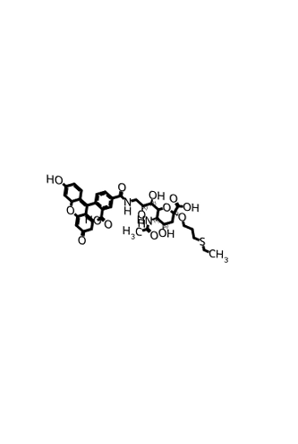 CCSCCCO[C@]1(C(=O)O)C[C@H](O)[C@@H](NC(C)=O)C([C@H](O)[C@H](O)CNC(=O)c2ccc(C3=C4C=CC(O)=CC4OC4=CC(=O)CC=C43)c(C(=O)O)c2)O1